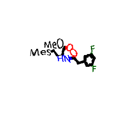 COC(=O)[C@H](CCSC)NC(=O)Cc1cc(F)cc(F)c1